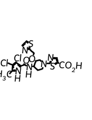 Cc1[nH]c(C(=O)NC2CCN(c3ncc(C(=O)O)s3)CC2OCc2nccs2)c(Cl)c1Cl